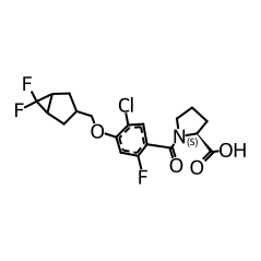 O=C(O)[C@@H]1CCCN1C(=O)c1cc(Cl)c(OCC2CC3C(C2)C3(F)F)cc1F